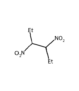 CCC(C(CC)[N+](=O)[O-])[N+](=O)[O-]